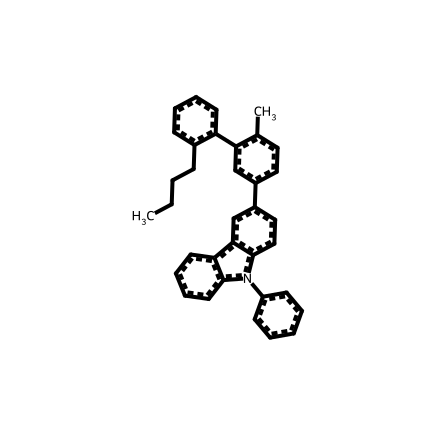 CCCCc1ccccc1-c1cc(-c2ccc3c(c2)c2ccccc2n3-c2ccccc2)ccc1C